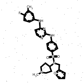 Cc1cc(Nc2ccnc(Nc3ccc(S(=O)(=O)N(Cc4ccco4)C4CCN(C)CC4)cc3)n2)ccc1F